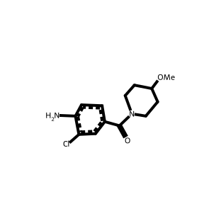 COC1CCN(C(=O)c2ccc(N)c(Cl)c2)CC1